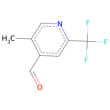 Cc1cnc(C(F)(F)F)cc1C=O